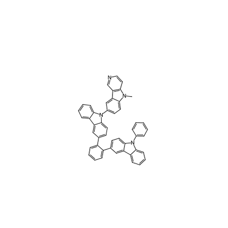 Cn1c2ccncc2c2cc(-n3c4ccccc4c4cc(-c5ccccc5-c5ccc6c(c5)c5ccccc5n6-c5ccccc5)ccc43)ccc21